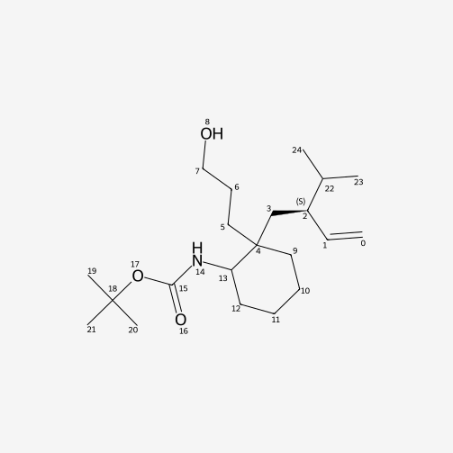 C=C[C@@H](CC1(CCCO)CCCCC1NC(=O)OC(C)(C)C)C(C)C